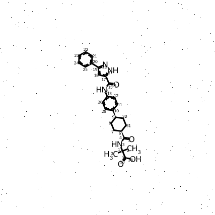 CC(C)(NC(=O)[C@H]1CC[C@@H](c2ccc(NC(=O)c3cc(-c4ccccc4)n[nH]3)cc2)CC1)C(=O)O